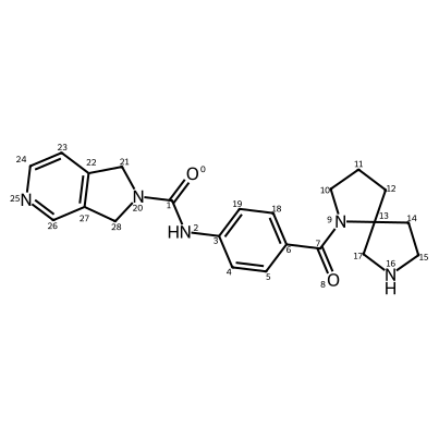 O=C(Nc1ccc(C(=O)N2CCCC23CCNC3)cc1)N1Cc2ccncc2C1